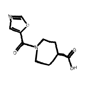 O=C(O)C1CCN(C(=O)c2cnco2)CC1